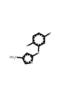 O=C(O)c1csc(Sc2cc(F)ccc2F)c1